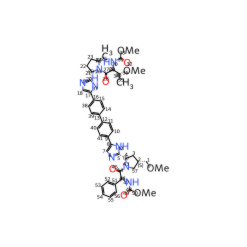 COC[C@H]1C[C@@H](c2ncc(-c3ccc(-c4ccc(-c5cnc([C@@H]6CC[C@H](C)N6C(=O)[C@@H](NC(=O)OC)[C@@H](C)OC)[nH]5)cc4)cc3)[nH]2)N(C(=O)[C@H](NC(=O)OC)c2ccccc2)C1